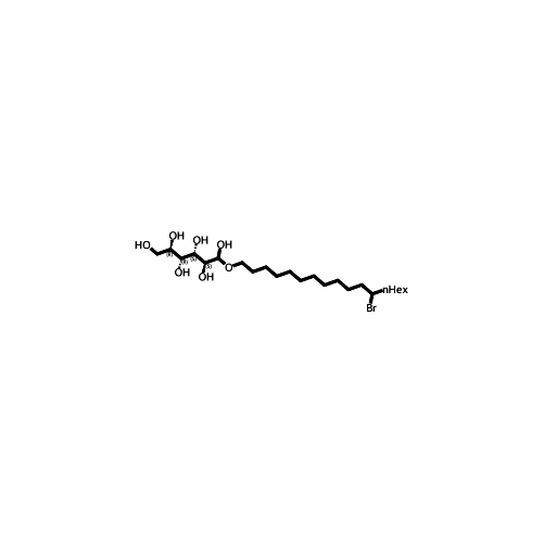 CCCCCCC(Br)CCCCCCCCCCCOC(O)[C@@H](O)[C@@H](O)[C@H](O)[C@H](O)CO